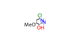 C#N.COc1cc(Cl)ncc1O